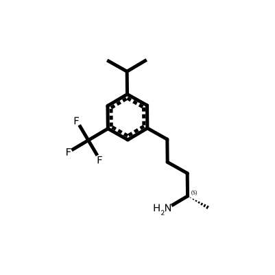 CC(C)c1cc(CCC[C@H](C)N)cc(C(F)(F)F)c1